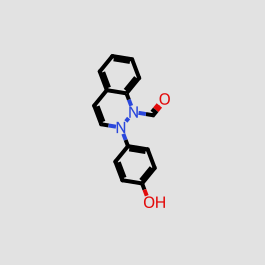 O=CN1c2ccccc2C=CN1c1ccc(O)cc1